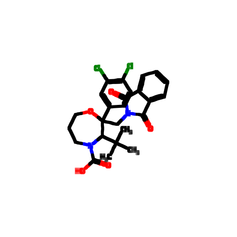 CC(C)(C)C1N(C(=O)O)CCCOC1(CN1C(=O)c2ccccc2C1=O)c1ccc(Cl)c(Cl)c1